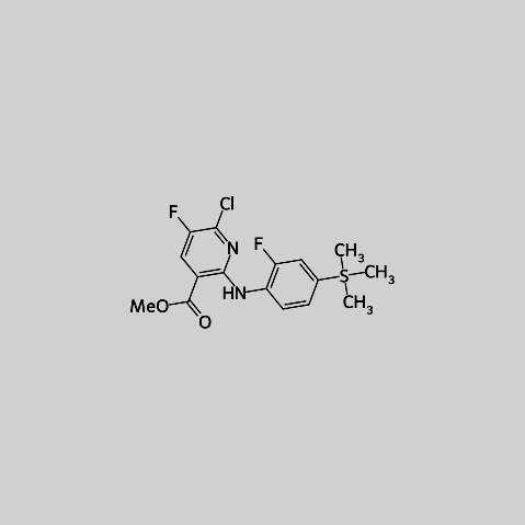 COC(=O)c1cc(F)c(Cl)nc1Nc1ccc(S(C)(C)C)cc1F